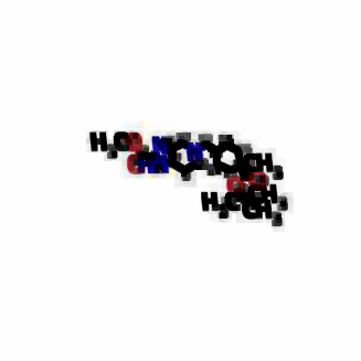 COC(=O)c1nc2c([nH]1)CCN(CC1CCC(C)(C(=O)OC(C)(C)C)CC1)C2